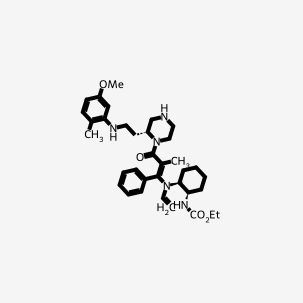 C=CN(/C(=C(\C)C(=O)N1CCNC[C@H]1CCNc1cc(OC)ccc1C)c1ccccc1)[C@H]1CCCC[C@@H]1NC(=O)OCC